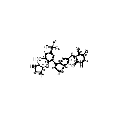 Cc1cc(C(F)(F)F)cc(-c2ccnc3cc(Cn4c(=O)[nH]cc(F)c4=O)sc23)c1O[C@@H]1CNC[C@@H]1F